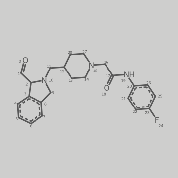 O=CC1c2ccccc2CN1CC1CCN(CC(=O)Nc2ccc(F)cc2)CC1